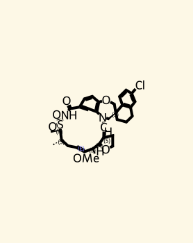 CO[C@H]1/C=C/C[C@H](C)[C@@H](C)S(=O)(=O)NC(=O)c2ccc3c(c2)N(C[C@@H]2CCO[C@H]21)C[C@@]1(CCCc2cc(Cl)ccc21)CO3